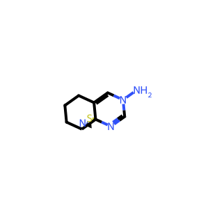 NN1C=NC23SC=NC2CCCC3=C1